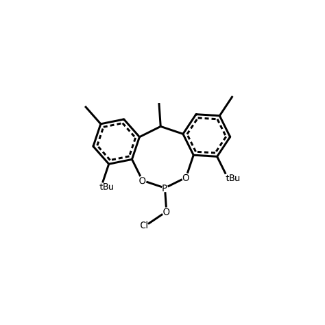 Cc1cc2c(c(C(C)(C)C)c1)OP(OCl)Oc1c(cc(C)cc1C(C)(C)C)C2C